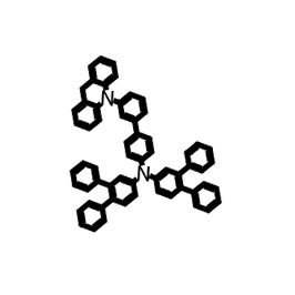 c1ccc(-c2ccc(N(c3ccc(-c4cccc(N5c6ccccc6Cc6ccccc65)c4)cc3)c3ccc(-c4ccccc4)c(-c4ccccc4)c3)cc2-c2ccccc2)cc1